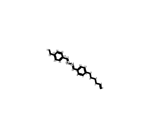 C=CCCCCc1ccc(C=NN=Cc2ccc(CC)cc2)cc1